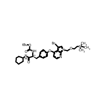 CC(C)(C)OC(=O)N[C@@H](Cc1ccc(Oc2ccnc3c2c(Br)cn3COCC[Si](C)(C)C)cc1)C(=O)NC1CCCCC1